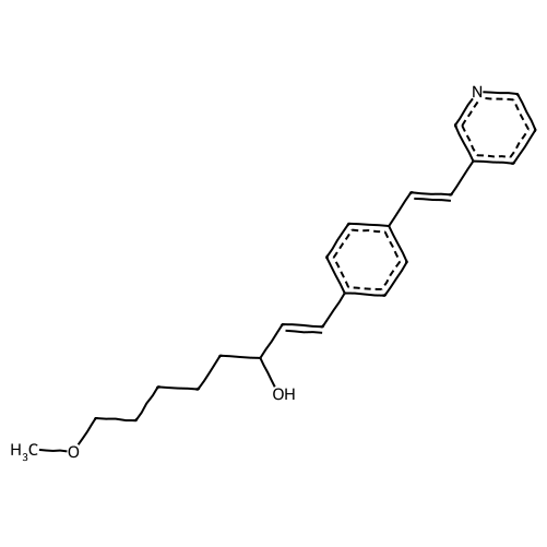 COCCCCCC(O)C=Cc1ccc(C=Cc2cccnc2)cc1